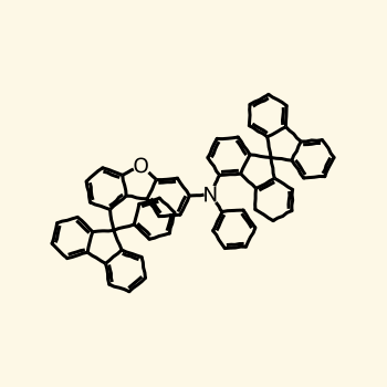 C1=CC2=C(CC1)c1c(N(c3ccccc3)c3ccc4c(c3)oc3cccc(C5(c6ccccc6)c6ccccc6-c6ccccc65)c34)cccc1C21c2ccccc2-c2ccccc21